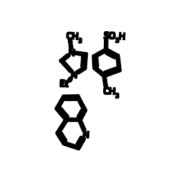 CCN1C=CN(C)C1.Cc1ccc(S(=O)(=O)O)cc1.c1ccc2ncccc2c1